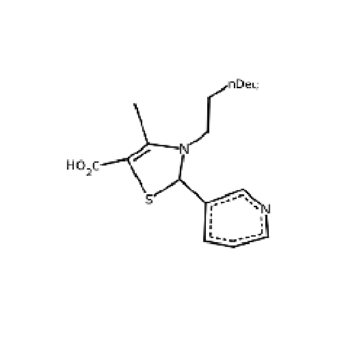 CCCCCCCCCCCCN1C(C)=C(C(=O)O)SC1c1cccnc1